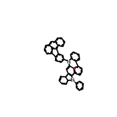 C1=CC2C3=C(CCC(N(c4ccc5c(c4)-c4c6ccccc6cc6cccc-5c46)c4ccccc4-c4ccccc4)=C3)N(c3ccccc3)C2C=C1